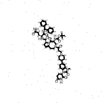 Cn1c(=O)n(C2CCC(=O)NC2=O)c2ccc(C3CCN(CCC(=O)N4CCC5=CC[C@@H](C(=O)N[C@@H](CCC(N)=O)C(=O)NC(c6ccccc6)c6ccccc6)N5C(=O)[C@@H](NC(=O)OC(C)(C)C)C4)CC3)cc21